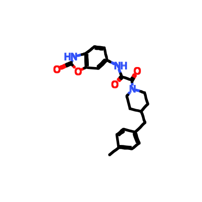 Cc1ccc(CC2CCN(C(=O)C(=O)Nc3ccc4[nH]c(=O)oc4c3)CC2)cc1